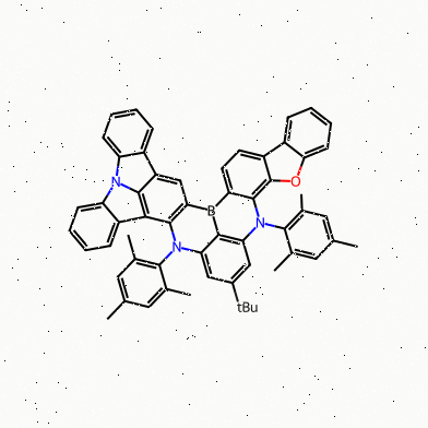 Cc1cc(C)c(N2c3cc(C(C)(C)C)cc4c3B(c3ccc5c(oc6ccccc65)c32)c2cc3c5ccccc5n5c6ccccc6c(c2N4c2c(C)cc(C)cc2C)c35)c(C)c1